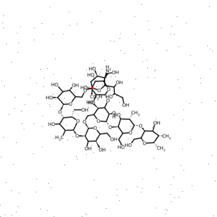 CC1C(O)[C@H](O[C@@H]2OC(CO[C@]3(C(=O)O)C[C@@H](O)[C@@H](N)C(C(O)C(O)CO)O3)[C@H](O)C(O)[C@@H]2O)[C@H](CO)O[C@H]1O[C@@H]1C(O)[C@H](O)C(CO)O[C@@H]1OCC1O[C@@H](O[C@@H]2C(CO)O[C@@H](O[C@@H]3C(CO)O[C@@H](C)[C@@H](C)C3O)[C@@H](C)C2O)[C@H](O)C(O[C@H]2O[C@H](CO)[C@@H](O)C(O)C2O)[C@@H]1O